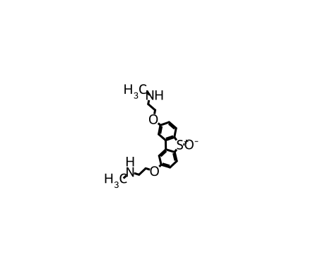 CNCCOc1ccc2c(c1)c1cc(OCCNC)ccc1[s+]2[O-]